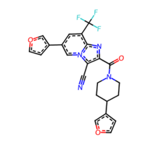 N#Cc1c(C(=O)N2CCC(c3ccoc3)CC2)nc2c(C(F)(F)F)cc(-c3ccoc3)cn12